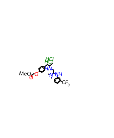 COC(=O)COc1ccc(CC(C)NCC(Nc2cccc(C(F)(F)F)c2)N(C)C)cc1.Cl.Cl